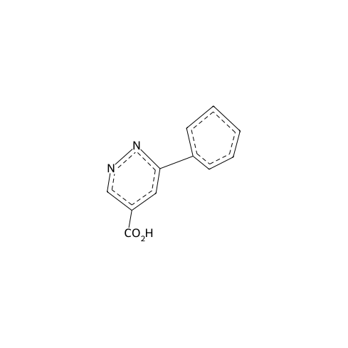 O=C(O)c1cnnc(-c2ccccc2)c1